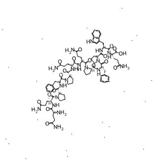 NC(=O)CC[C@H](NC(=O)[C@H](Cc1c[nH]c2ccccc12)NC(=O)[C@@H]1CCCN1C(=O)[C@H](Cc1ccccc1)NC(=O)[C@@H]1CCCN1C(=O)[C@H](CCC(N)=O)NC(=O)[C@H](CCC(N)=O)NC(=O)[C@@H]1CCCN1C(=O)[C@H](Cc1ccccc1)NC(=O)[C@@H]1CCCN1C(=O)[C@H](CCC(N)=O)NC(=O)[C@@H](N)CCC(N)=O)C(=O)O